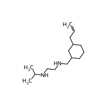 C=CCC1CCCC(CNCCNC(C)C)C1